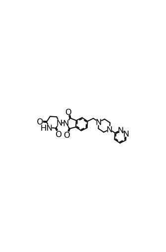 O=C1CCN(N2C(=O)c3ccc(CN4CCN(c5cccnn5)CC4)cc3C2=O)C(=O)N1